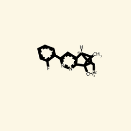 CC12CC[C@H](c3cc(-c4ccccc4F)nnc31)C2(C)CBr